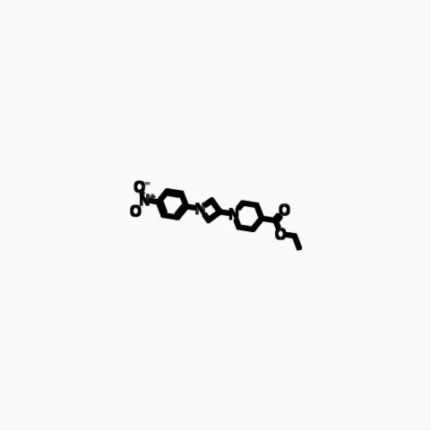 CCOC(=O)C1CCN(C2CN(c3ccc([N+](=O)[O-])cc3)C2)CC1